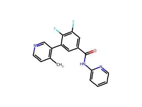 Cc1ccncc1-c1cc(C(=O)Nc2ccccn2)cc(F)c1F